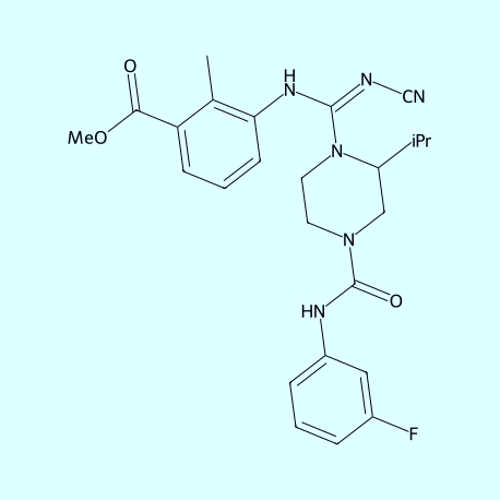 COC(=O)c1cccc(N/C(=N/C#N)N2CCN(C(=O)Nc3cccc(F)c3)CC2C(C)C)c1C